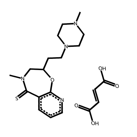 CN1CCN(CCC2CN(C)C(=S)c3cccnc3O2)CC1.O=C(O)C=CC(=O)O